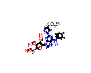 CCOC(=O)c1cnn(-c2nc(NC3CC4CCC3C4)c3ncn(C4O[C@H](CO)[C@@H](O)[C@H]4O)c3n2)c1